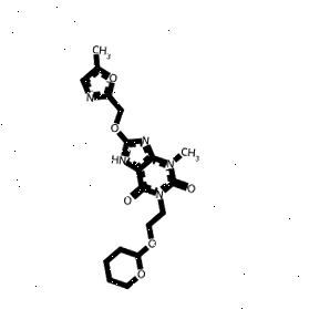 Cc1cnc(COc2nc3c([nH]2)c(=O)n(CCOC2CCCCO2)c(=O)n3C)o1